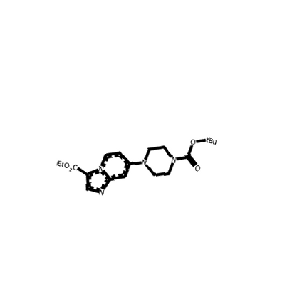 CCOC(=O)c1cnc2cc(N3CCN(C(=O)OC(C)(C)C)CC3)ccn12